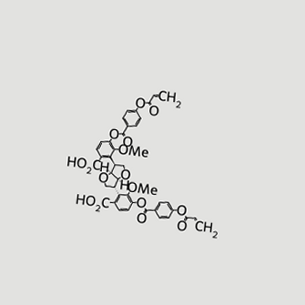 C=CC(=O)Oc1ccc(C(=O)Oc2ccc(C(=O)O)c([C@H]3CO[C@@H]4[C@H]3OC[C@H]4c3c(C(=O)O)ccc(OC(=O)c4ccc(OC(=O)C=C)cc4)c3OC)c2OC)cc1